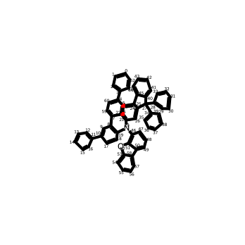 c1ccc(-c2ccc(-c3cc(-c4ccccc4)ccc3N(c3ccc4c(c3)C(c3ccccc3)(c3ccccc3)c3ccccc3-4)c3cccc4c3oc3ccccc34)cc2)cc1